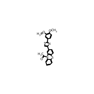 COc1ccc(-c2nc(-c3ccc4c(c3)N(C(C)=O)c3ccccc3S4)cs2)cc1OC